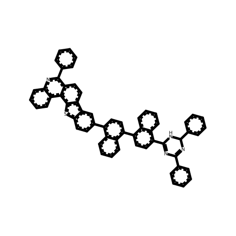 c1ccc(C2=NC(c3ccccc3)NC(c3ccc(-c4ccc(-c5ccc6sc7c(ccc8c(-c9ccccc9)nc9ccccc9c87)c6c5)c5ccccc45)c4ccccc34)=N2)cc1